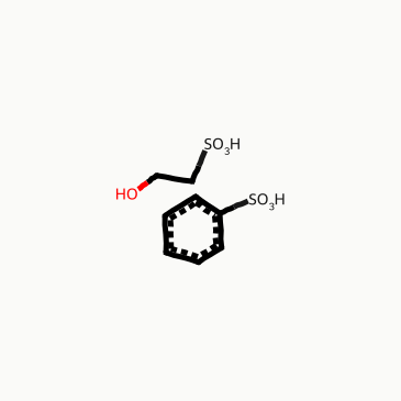 O=S(=O)(O)CCO.O=S(=O)(O)c1ccccc1